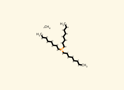 C.CCCCCCCCP(CCCCCCCC)CCCCCCCC